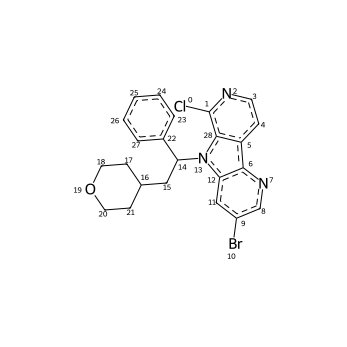 Clc1nccc2c3ncc(Br)cc3n(C(CC3CCOCC3)c3ccccc3)c12